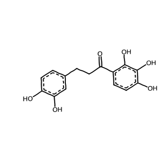 O=C(CCc1ccc(O)c(O)c1)c1ccc(O)c(O)c1O